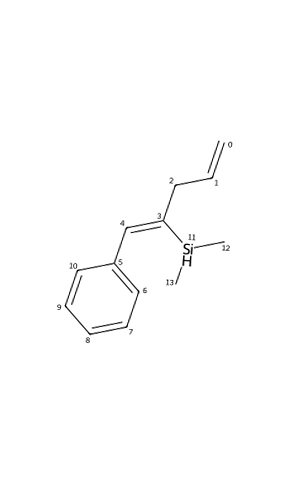 C=CCC(=Cc1ccccc1)[SiH](C)C